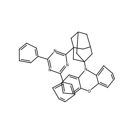 c1ccc(-c2nc(-c3ccccc3)nc(C34CC5CC(C3)CC(N3c6ccccc6Oc6ccccc63)(C5)C4)n2)cc1